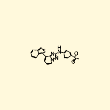 CS(=O)(=O)c1ccc(Nc2nc3c(-c4scc5ccccc45)cccn3n2)cc1